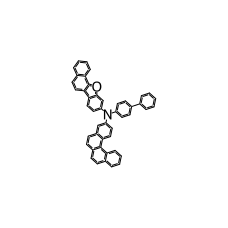 c1ccc(-c2ccc(N(c3ccc4c(ccc5ccc6ccccc6c54)c3)c3ccc4c(c3)oc3c5ccccc5ccc43)cc2)cc1